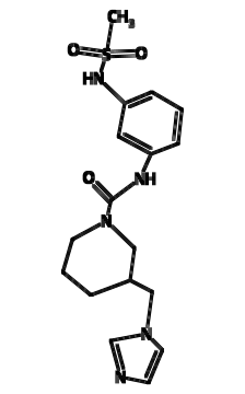 CS(=O)(=O)Nc1cccc(NC(=O)N2CCCC(Cn3ccnc3)C2)c1